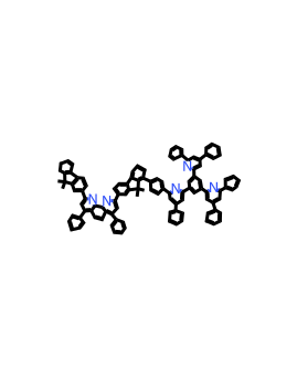 CC1(C)C2=C(C=CCC2)c2ccc(-c3cc(-c4ccccc4)c4ccc5c(-c6ccccc6)cc(-c6ccc7c(c6)C(C)(C)c6c(-c8ccc(-c9cc(-c%10ccccc%10)cc(-c%10cc(-c%11cc(-c%12ccccc%12)cc(-c%12ccccc%12)n%11)cc(-c%11cc(-c%12ccccc%12)cc(-c%12ccccc%12)n%11)c%10)n9)cc8)cccc6-7)nc5c4n3)cc21